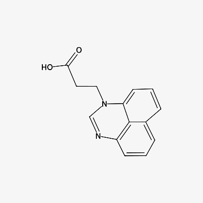 O=C(O)CCN1C=Nc2cccc3cccc1c23